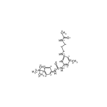 CC(=O)NCCCNc1cc(C)nc(NC(=O)Nc2ccc(C(C)(C)C)cc2)n1